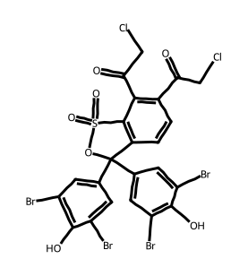 O=C(CCl)c1ccc2c(c1C(=O)CCl)S(=O)(=O)OC2(c1cc(Br)c(O)c(Br)c1)c1cc(Br)c(O)c(Br)c1